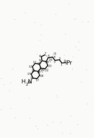 CC(C)CCC[C@@H](C)[C@H]1CCC2C3CCC4C[C@@H](N)CC[C@]4(C)C3CC[C@@]21C